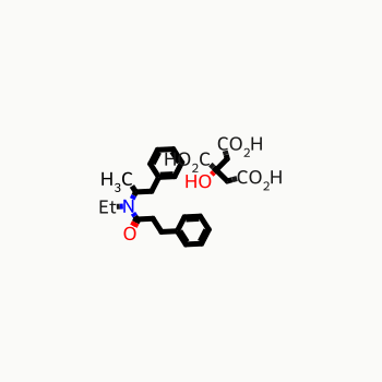 CCN(C(=O)CCc1ccccc1)C(C)Cc1ccccc1.O=C(O)CC(O)(CC(=O)O)C(=O)O